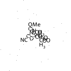 COc1ccc2c(c1)nc(SC(C)(C)C(=O)OCc1oc(=O)oc1C)n2-c1ccc(C#N)c2ccccc12